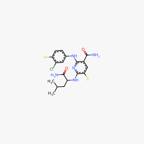 CC(C)CC(Nc1nc(Nc2ccc(F)c(Cl)c2)c(C(N)=O)cc1F)C(N)=O